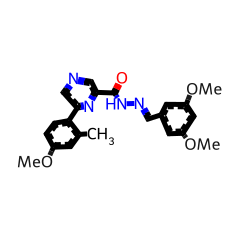 COc1cc(C=NNC(=O)c2cncc(-c3ccc(OC)cc3C)n2)cc(OC)c1